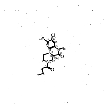 CCCC(=O)N1CCN2c3nc(F)c(Cl)cc3N(C)C(=O)[C@H]2C1